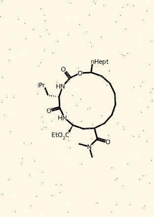 CCCCCCCC1CCCCCCC(C(=O)N(C)C)C[C@@H](C(=O)OCC)NC(=O)[C@H](CC(C)C)NC(=O)O1